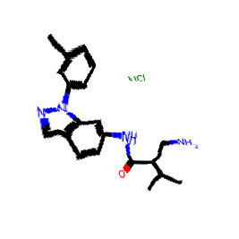 Cc1cccc(-n2ncc3ccc(NC(=O)C(CN)C(C)C)cc32)c1.Cl